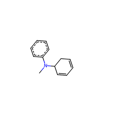 CN(c1ccccc1)C1C=CC=CC1